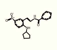 O=C(NC=Cc1cc([N+](=O)[O-])ccc1NC1CCCC1)c1ccccc1